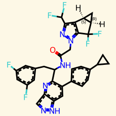 O=C(Cn1nc(C(F)F)c2c1C(F)(F)[C@@H]1C[C@H]21)NC(Cc1cc(F)cc(F)c1)c1nc2cn[nH]c2cc1-c1ccc(C2CC2)cc1